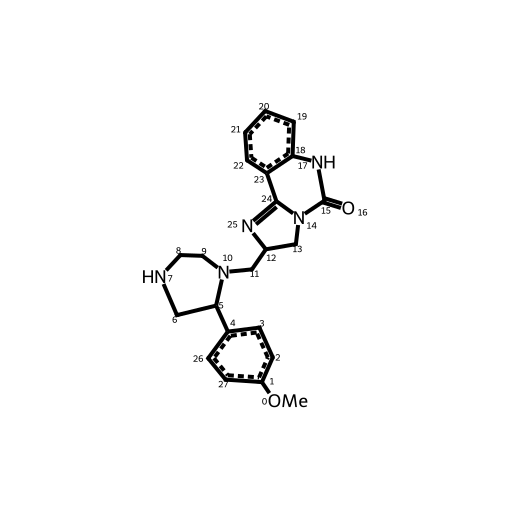 COc1ccc(C2CNCCN2CC2CN3C(=O)Nc4ccccc4C3=N2)cc1